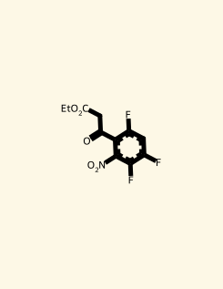 CCOC(=O)CC(=O)c1c(F)cc(F)c(F)c1[N+](=O)[O-]